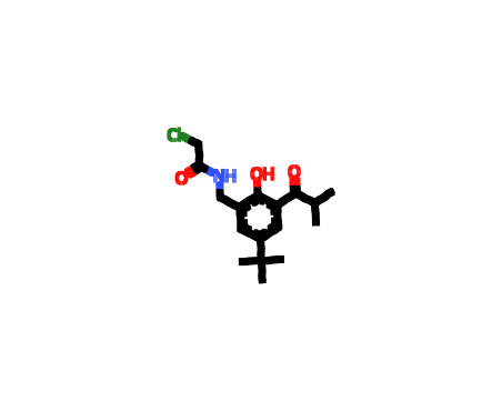 CC(C)C(=O)c1cc(C(C)(C)C)cc(CNC(=O)CCl)c1O